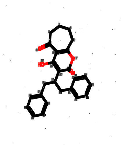 O=C1CCCCc2oc(=O)c(C(Cc3ccccc3)Cc3ccccc3)c(O)c21